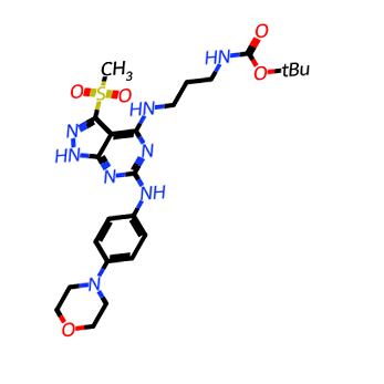 CC(C)(C)OC(=O)NCCCNc1nc(Nc2ccc(N3CCOCC3)cc2)nc2[nH]nc(S(C)(=O)=O)c12